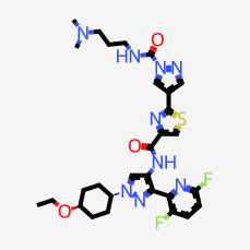 CCO[C@H]1CC[C@H](n2cc(NC(=O)c3csc(-c4cnn(C(=O)NCCCN(C)C)c4)n3)c(-c3nc(F)ccc3F)n2)CC1